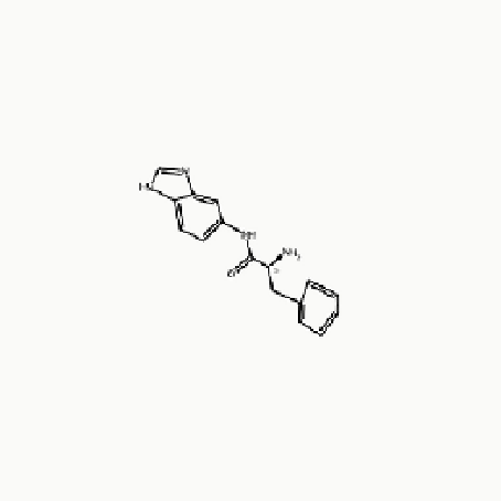 N[C@@H](Cc1ccccc1)C(=O)Nc1ccc2[nH]cnc2c1